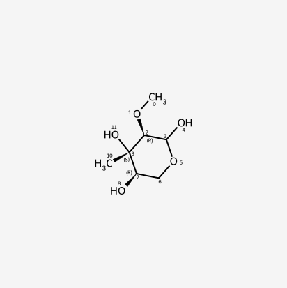 CO[C@H]1C(O)OC[C@@H](O)[C@]1(C)O